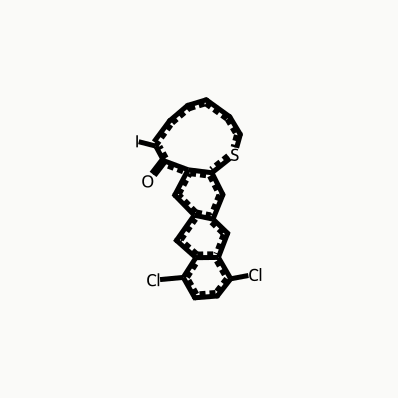 O=c1c(I)cccccsc2cc3cc4c(Cl)ccc(Cl)c4cc3cc12